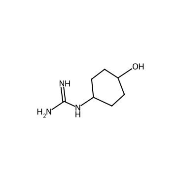 N=C(N)NC1CCC(O)CC1